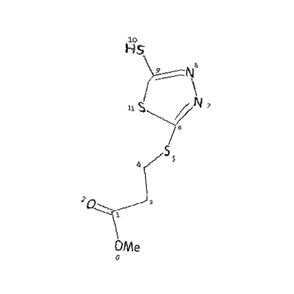 COC(=O)CCSc1nnc(S)s1